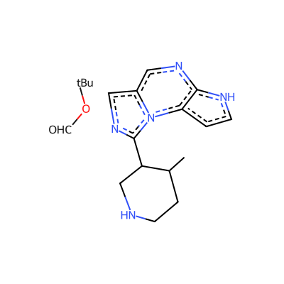 CC(C)(C)OC=O.CC1CCNCC1c1ncc2cnc3[nH]ccc3n12